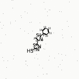 Sc1nnc(-c2csc(-c3ccccc3)n2)s1